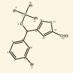 CC(C)[Si](OC(c1cccc(Br)c1)c1csc(C=O)c1)(C(C)C)C(C)C